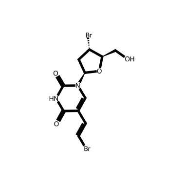 O=c1[nH]c(=O)n([C@H]2C[C@H](Br)[C@@H](CO)O2)cc1C=CBr